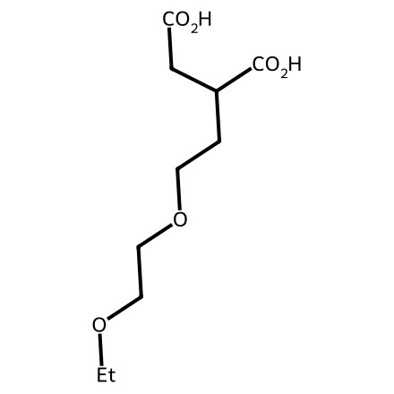 CCOCCOCCC(CC(=O)O)C(=O)O